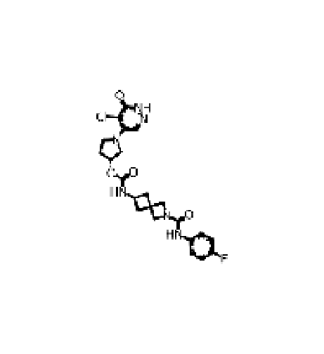 O=C(NC1CC2(C1)CN(C(=O)Nc1ccc(F)cc1)C2)O[C@@H]1CCN(c2cn[nH]c(=O)c2Cl)C1